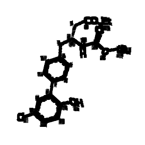 CCOC(=O)C[C@@H](Cc1ccc(-c2cc(Cl)ccc2O)cc1)NC(=O)OC(C)(C)C